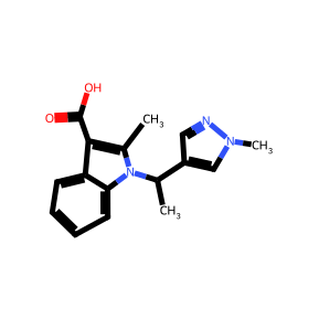 Cc1c(C(=O)O)c2ccccc2n1C(C)c1cnn(C)c1